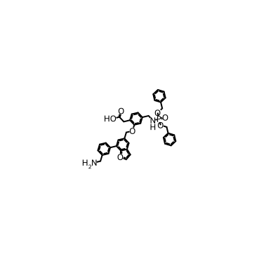 NCc1cccc(-c2cc(COc3cc(CNP(=O)(OCc4ccccc4)OCc4ccccc4)ccc3CC(=O)O)cc3ccoc23)c1